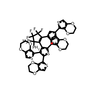 Cc1sc(-c2scc3c2OCCO3)cc1C1=C(c2c(-c3scc4c3OCCO4)sc(-c3scc4c3OCCO4)c2-c2scc3c2OCCO3)C(P)(P)C(F)(F)C1(F)F